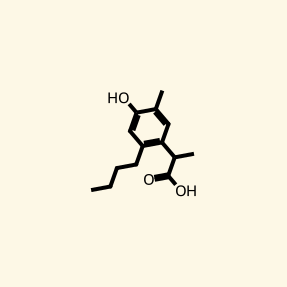 CCCCc1cc(O)c(C)cc1C(C)C(=O)O